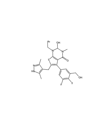 Cc1n[nH]c(C)c1Cc1sc2c(c1-c1cc(F)c(F)c(CO)c1)C(=O)N(C)C(O)N2CC(C)C